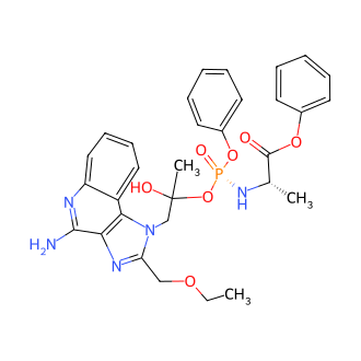 CCOCc1nc2c(N)nc3ccccc3c2n1CC(C)(O)O[P@](=O)(N[C@@H](C)C(=O)Oc1ccccc1)Oc1ccccc1